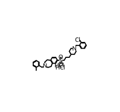 Cc1ccccc1CN1CCc2ccc(S(=O)(=O)CCCC3CCN(Cc4ccccc4Cl)CC3)cc2CC1.Cl.Cl